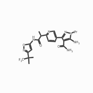 CC(C(=O)Nc1cc(C(C)(C)C(F)(F)F)no1)c1ccc(-c2nn(C(C)C)c(N)c2C(N)=O)cn1